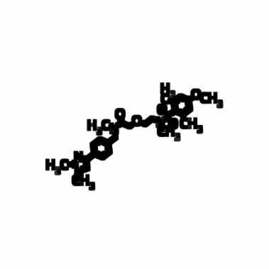 COc1cc(C)c(S(=O)(=O)N(C)CCOCC(=O)N(C)Cc2ccc(-c3cn(C)c(C)n3)cc2)c(C)c1